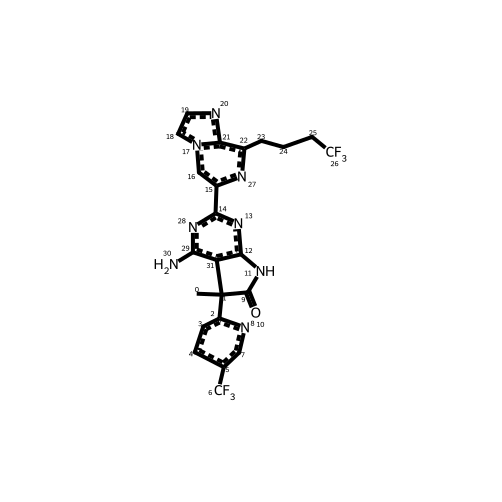 CC1(c2ccc(C(F)(F)F)cn2)C(=O)Nc2nc(-c3cn4ccnc4c(CCCC(F)(F)F)n3)nc(N)c21